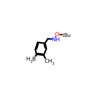 Bc1ccc(CNOC(C)(C)C)cc1C